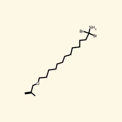 C=C(C)COCCCCCCCCCCCCC([SiH3])(Br)Br